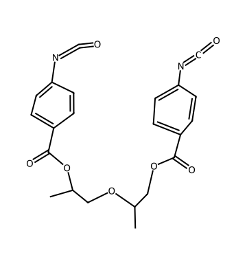 CC(COC(=O)c1ccc(N=C=O)cc1)OCC(C)OC(=O)c1ccc(N=C=O)cc1